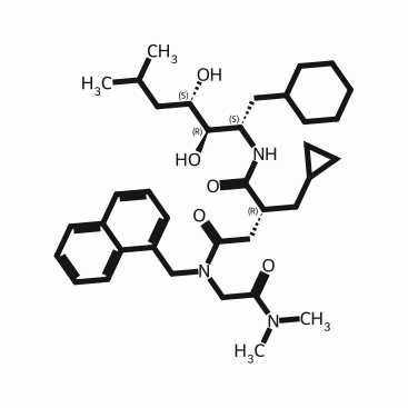 CC(C)C[C@H](O)[C@H](O)[C@H](CC1CCCCC1)NC(=O)[C@@H](CC(=O)N(CC(=O)N(C)C)Cc1cccc2ccccc12)CC1CC1